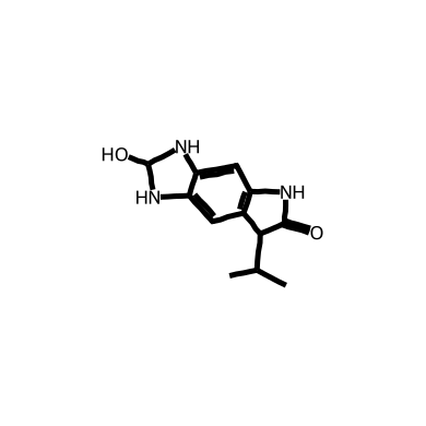 CC(C)C1C(=O)Nc2cc3c(cc21)NC(O)N3